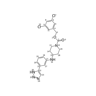 O=C(OCc1cc(Cl)cc(Cl)c1)N1CCC(Nc2cccc(-c3cnn[nH]3)c2)CC1